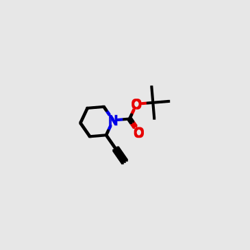 C#CC1CCCCN1C(=O)OC(C)(C)C